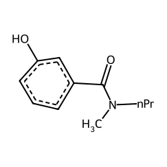 CCCN(C)C(=O)c1cccc(O)c1